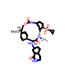 CO[C@H]1COC(=O)Nc2ccc(S(=O)(=O)C3CC3)c(c2)CN(C)C(=O)[C@H](Nc2ccc3cc[nH]c(=O)c3c2)C2C=C=C1C=C2